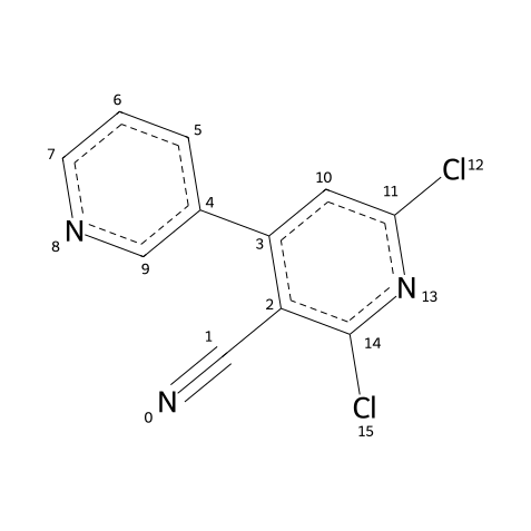 N#Cc1c(-c2cccnc2)cc(Cl)nc1Cl